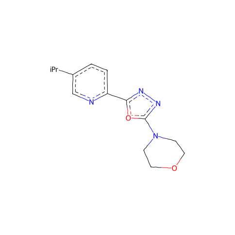 CC(C)c1ccc(-c2nnc(N3CCOCC3)o2)nc1